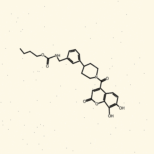 CCCCOC(=O)NCc1cccc(C2CCN(C(=O)c3cc(=O)oc4c(O)c(O)ccc34)CC2)c1